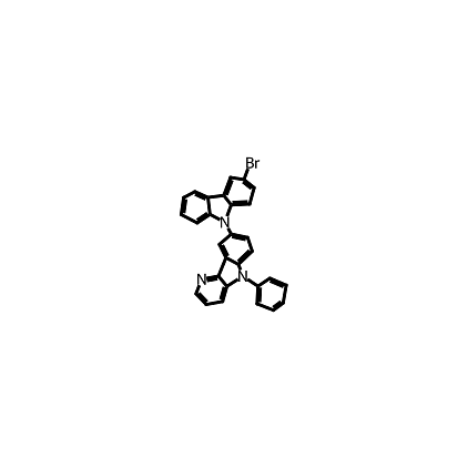 Brc1ccc2c(c1)c1ccccc1n2-c1ccc2c(c1)c1ncccc1n2-c1ccccc1